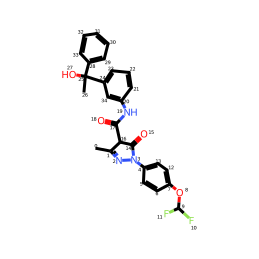 CC1=NN(c2ccc(OC(F)F)cc2)C(=O)C1C(=O)Nc1cccc(C(C)(O)c2ccccc2)c1